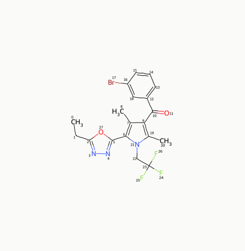 CCc1nnc(-c2c(C)c(C(=O)c3cccc(Br)c3)c(C)n2CC(F)(F)F)o1